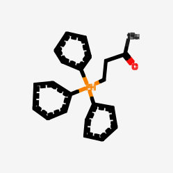 CC(C)(C)C(=O)CC[PH](c1ccccc1)(c1ccccc1)c1ccccc1